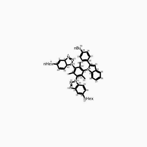 CCCCCCC1=CC2N=NN(c3c(C)c(-n4nnc5cc(CCCCCC)ccc54)c(C)c(-n4c(-c5ccc(CCCC)cc5)cc5ccccc54)c3C)C2C=C1